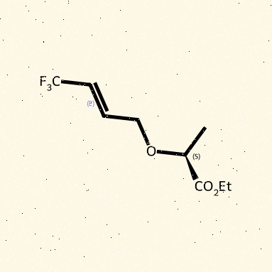 CCOC(=O)[C@H](C)OC/C=C/C(F)(F)F